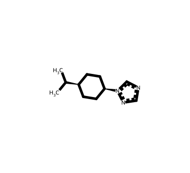 CC(C)[C@H]1CC[C@@H](n2cncn2)CC1